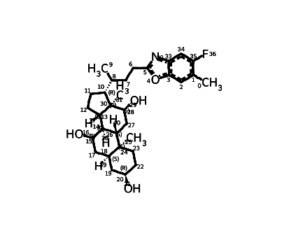 Cc1cc2oc(CCC(C)[C@H]3CC[C@H]4[C@@H]5[C@H](O)C[C@@H]6C[C@H](O)CC[C@]6(C)[C@H]5C[C@H](O)[C@]34C)nc2cc1F